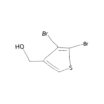 OCc1csc(Br)c1Br